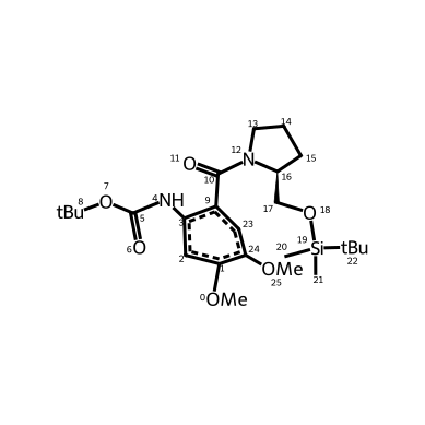 COc1cc(NC(=O)OC(C)(C)C)c(C(=O)N2CCC[C@H]2CO[Si](C)(C)C(C)(C)C)cc1OC